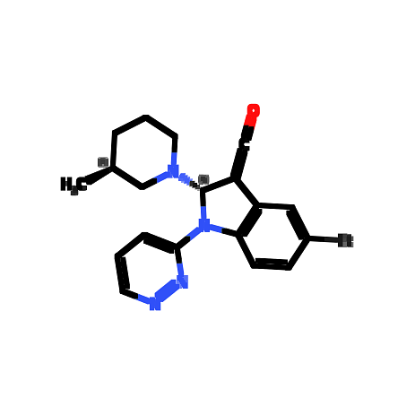 CCc1ccc2c(c1)C(=C=O)[C@@H](N1CCC[C@H](C)C1)N2c1cccnn1